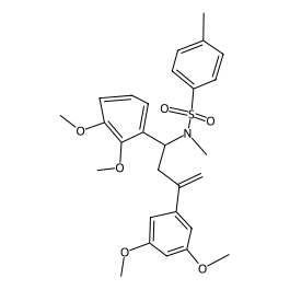 C=C(CC(c1cccc(OC)c1OC)N(C)S(=O)(=O)c1ccc(C)cc1)c1cc(OC)cc(OC)c1